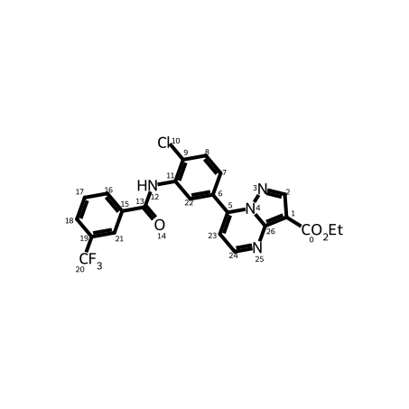 CCOC(=O)c1cnn2c(-c3ccc(Cl)c(NC(=O)c4cccc(C(F)(F)F)c4)c3)ccnc12